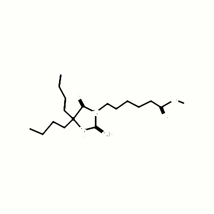 CCCCC1(CCCC)NC(=N)N(CCCCCC(=O)OC)C1=O